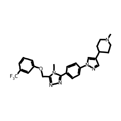 CN1CCC(c2cnn(-c3ccc(-c4nnc(COc5cccc(C(F)(F)F)c5)n4C)cc3)c2)CC1